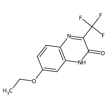 CCOc1ccc2nc(C(F)(F)F)c(=O)[nH]c2c1